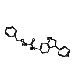 O=C(NOCc1ccccc1)Nc1ccc2c(-c3ccncc3)c[nH]c2c1